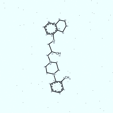 Cc1ccccc1N1CCN(CC(O)COc2cccc3c2CCCC3)CC1